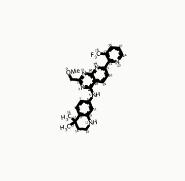 COCc1nc(Nc2ccc3c(c2)NCCC3(C)C)c2ccc(-c3ncccc3C(F)(F)F)nc2n1